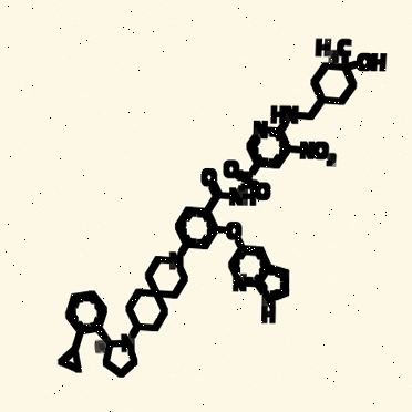 CC1(O)CCC(CNc2ncc(S(=O)(=O)NC(=O)c3ccc(N4CCC5(CCC(N6CCC[C@H]6c6ccccc6C6CC6)CC5)CC4)cc3Oc3cnc4[nH]ccc4c3)cc2[N+](=O)[O-])CC1